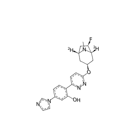 [2H][C@@]12C[C@H](Oc3ccc(-c4ccc(-n5ccnc5)cc4O)nn3)C[C@@]([2H])([C@H](F)C1)N2C